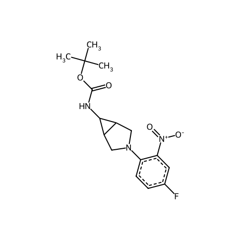 CC(C)(C)OC(=O)NC1C2CN(c3ccc(F)cc3[N+](=O)[O-])CC21